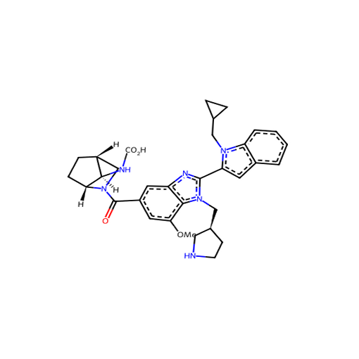 COc1cc(C(=O)N2C[C@H]3CC[C@@H]2[C@@H]3NC(=O)O)cc2nc(-c3cc4ccccc4n3CC3CC3)n(C[C@H]3CCNC3)c12